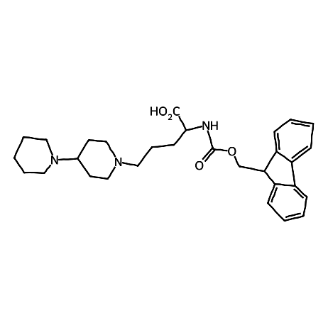 O=C(NC(CCCN1CCC(N2CCCCC2)CC1)C(=O)O)OCC1c2ccccc2-c2ccccc21